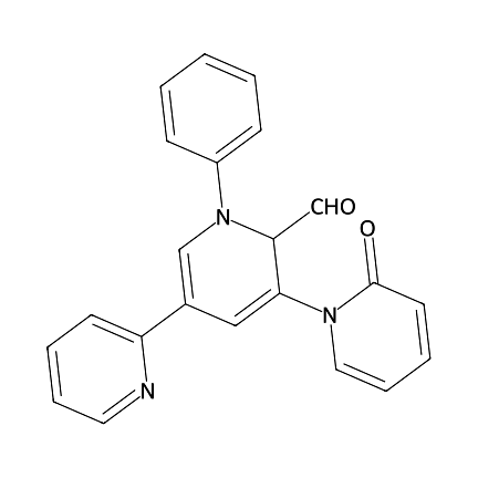 O=CC1C(n2ccccc2=O)=CC(c2ccccn2)=CN1c1ccccc1